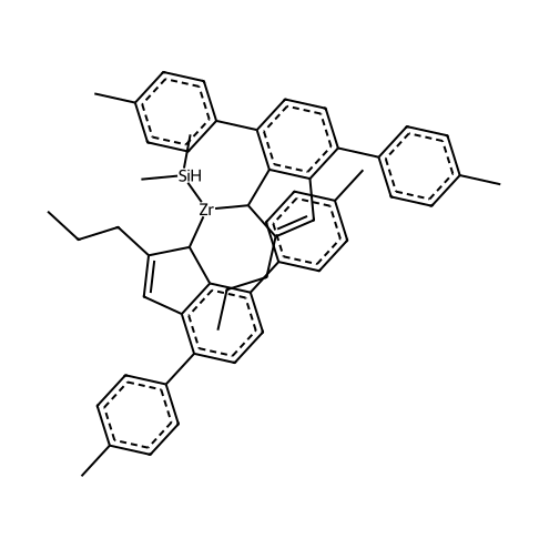 CCCC1=Cc2c(-c3ccc(C)cc3)ccc(-c3ccc(C)cc3)c2[CH]1[Zr]([CH]1C(CCC)=Cc2c(-c3ccc(C)cc3)ccc(-c3ccc(C)cc3)c21)[SiH](C)C